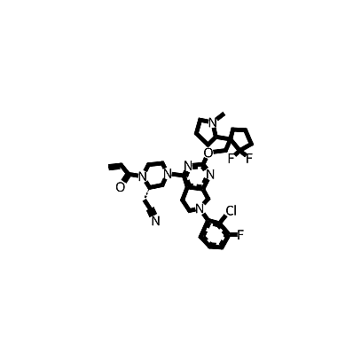 C=CC(=O)N1CCN(c2nc(OCC3(C4CCCN4C)CCCC3(F)F)nc3c2CCN(c2cccc(F)c2Cl)C3)C[C@@H]1CC#N